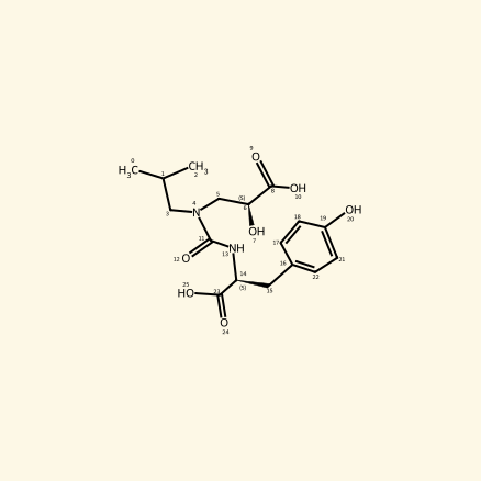 CC(C)CN(C[C@H](O)C(=O)O)C(=O)N[C@@H](Cc1ccc(O)cc1)C(=O)O